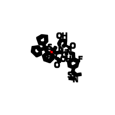 Cc1ncsc1-c1ccc(CNC(=O)[C@@H]2C[C@@H](O)CN2C(=O)C(NC(=O)O)C(C)(C)SC(c2ccccc2)(c2ccccc2)c2ccccc2)c(F)c1